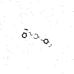 O=c1cnc2ccccc2n1CCN1CCC(NCc2ccc3c(c2)OCCO3)CC1